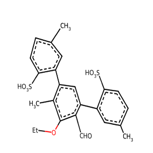 CCOc1c(C)c(-c2cc(C)ccc2S(=O)(=O)O)cc(-c2cc(C)ccc2S(=O)(=O)O)c1C=O